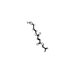 CC(C)COC(=O)C=CC(=O)OCCCO